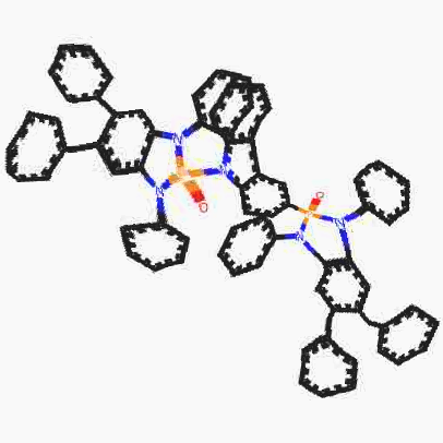 O=P1(c2ccc3c(c2)c2ccccc2n3P2(=O)N(c3ccccc3)c3cc(-c4ccccc4)c(-c4ccccc4)cc3N2c2ccccc2)N(c2ccccc2)c2cc(-c3ccccc3)c(-c3ccccc3)cc2N1c1ccccc1